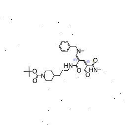 CNC(=O)/C(C=O)=C/C(=C\N(C)Cc1ccccc1)C(=O)NCCCC1CCN(C(=O)OC(C)(C)C)CC1